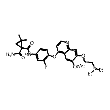 CCN(CC)CCOc1cc2nccc(Oc3ccc(NC(=O)C4(C(N)=O)CC4(C)C)cc3F)c2cc1OC